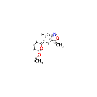 CCOC1CCCC(CCc2c(C)noc2C)O1